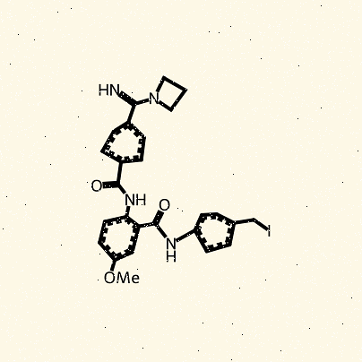 COc1ccc(NC(=O)c2ccc(C(=N)N3CCC3)cc2)c(C(=O)Nc2ccc(CI)cc2)c1